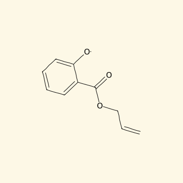 C=CCOC(=O)c1ccccc1[O]